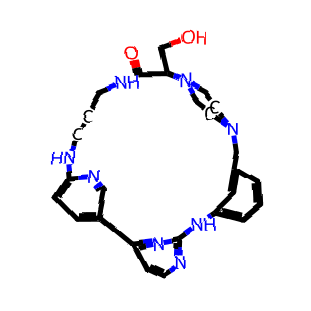 O=C1NCCCNc2ccc(cn2)-c2ccnc(n2)Nc2cccc(c2)CN2CCN(CC2)C1CO